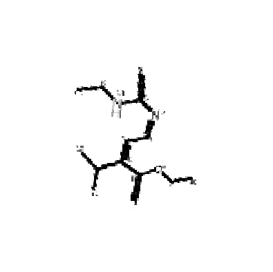 C=C(/N=C\C=C(/C(=C)OCC)C(C)C)NCC